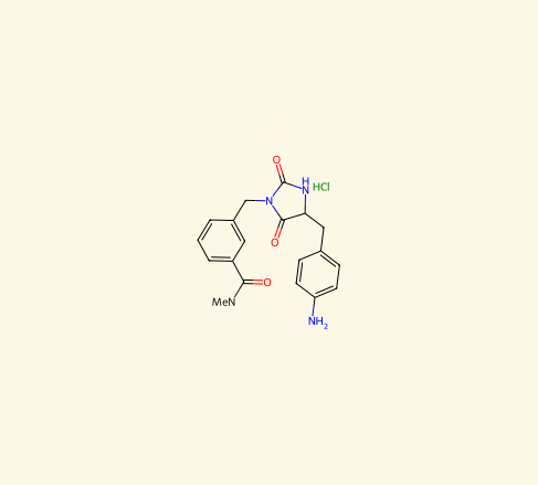 CNC(=O)c1cccc(CN2C(=O)NC(Cc3ccc(N)cc3)C2=O)c1.Cl